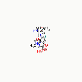 CNC1CN(c2c(F)cc3c(=O)c(C(=O)O)cn4c3c2OCN4C)CC1OC